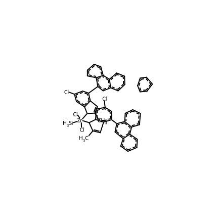 CC1=Cc2c(-c3cc4ccccc4c4ccccc34)cc(Cl)cc2[CH]1[Zr]([SiH3])([Cl])([Cl])[CH]1C(C)=Cc2c(-c3cc4ccccc4c4ccccc34)cc(Cl)cc21.[c]1ccccc1